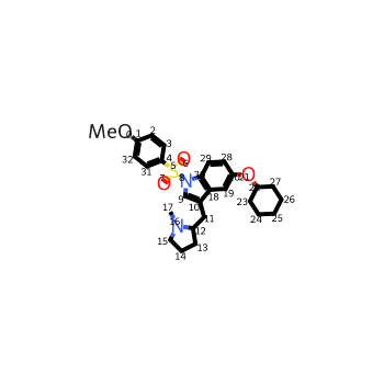 COc1ccc(S(=O)(=O)n2cc(CC3CCCN3C)c3cc(OC4CCCCC4)ccc32)cc1